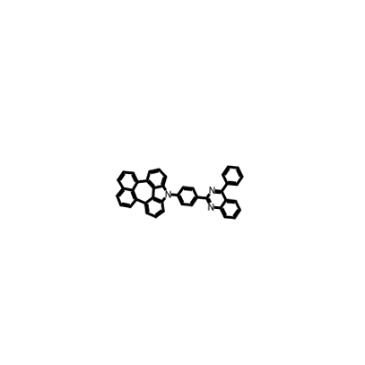 c1ccc(-c2nc(-c3ccc(-n4c5cccc6c5c5c(cccc54)-c4cccc5cccc-6c45)cc3)nc3ccccc23)cc1